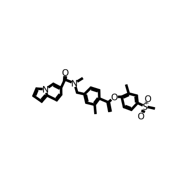 C=C(Oc1ccc(S(C)(=O)=O)cc1C)c1ccc(CN(C)C(=O)c2ccc3cccn3c2)cc1C